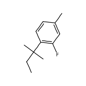 CCC(C)(C)c1ccc(C)cc1F